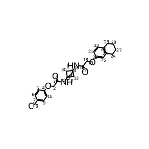 O=C(COc1ccc(Cl)cc1)NC12CC(NC(=O)COc3ccc4c(c3)CCCC4)(C1)C2